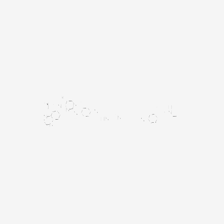 COc1cc(NCCNC2CN(CCC3CCN(c4cc(F)c(C5CCC(=O)NC5=O)c(F)c4)CC3)C2)c(C)cc1Nc1ncc(Br)c(Nc2ccc3nccnc3c2P(C)(C)=O)n1